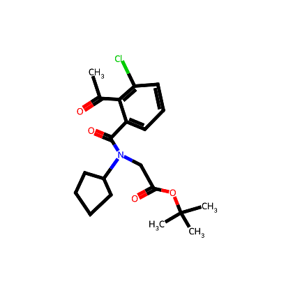 CC(=O)c1c(Cl)cccc1C(=O)N(CC(=O)OC(C)(C)C)C1CCCC1